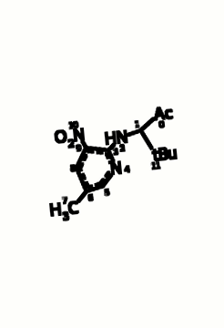 CC(=O)C(Nc1ncc(C)cc1[N+](=O)[O-])C(C)(C)C